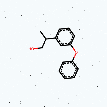 CC(CO)c1cccc(Oc2ccccc2)c1